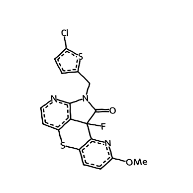 COc1ccc2c(n1)C1(F)C(=O)N(Cc3ccc(Cl)s3)c3nccc(c31)S2